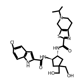 CC(C)N1CCc2nc(C(=O)N[C@@H]3CC(CO)(CO)C[C@H]3NC(=O)c3cc4cc(Cl)ccc4[nH]3)sc2C1